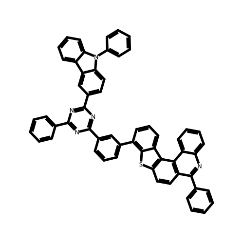 c1ccc(-c2nc(-c3cccc(-c4cccc5c4sc4ccc6c(-c7ccccc7)nc7ccccc7c6c45)c3)nc(-c3ccc4c(c3)c3ccccc3n4-c3ccccc3)n2)cc1